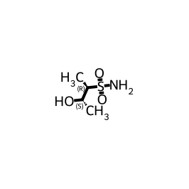 C[C@H](O)[C@@H](C)S(N)(=O)=O